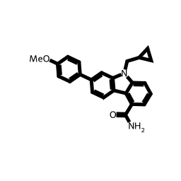 COc1ccc(-c2c[c]c3c4c(C(N)=O)cccc4n(CC4CC4)c3c2)cc1